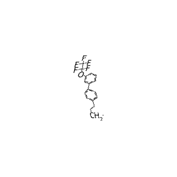 [CH2]CCc1ccc(-c2cccc(OC(F)(F)C(F)(F)F)c2)cc1